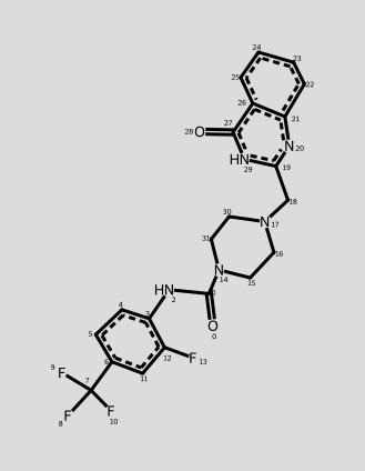 O=C(Nc1ccc(C(F)(F)F)cc1F)N1CCN(Cc2nc3ccccc3c(=O)[nH]2)CC1